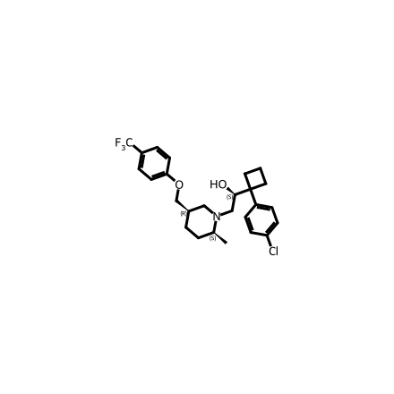 C[C@H]1CC[C@@H](COc2ccc(C(F)(F)F)cc2)CN1C[C@@H](O)C1(c2ccc(Cl)cc2)CCC1